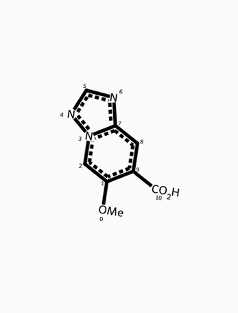 COc1cn2ncnc2cc1C(=O)O